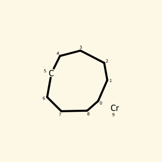 C1CCCCCCCC1.[Cr]